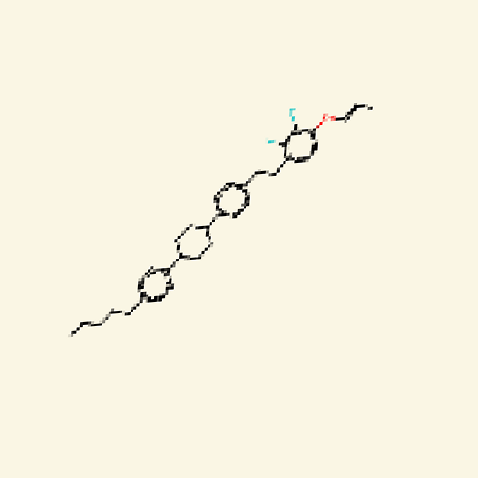 C/C=C/Oc1ccc(CCc2ccc(C3CCC(c4ccc(CCCCC)cc4)CC3)cc2)c(F)c1F